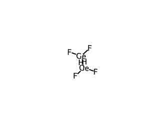 [F][GeH]([F])[GeH]([F])[F]